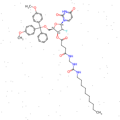 CCCCCCCCCCNC(=O)NCNC(=O)CCC(=O)O[C@@H]1C(F)[C@H](n2ccc(=O)[nH]c2=O)O[C@@H]1COC(c1ccccc1)(c1ccc(OC)cc1)c1ccc(OC)cc1